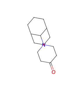 O=C1CCN(C2C3CCCC2CCC3)CC1